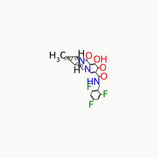 C[C@H]1C2C3C[C@@H](C21)N1C(=O)c2c(O)c(=O)c(C(=O)NCc4c(F)cc(F)cc4F)cn2C[C@@H]31